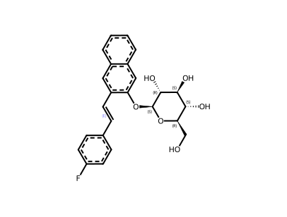 OC[C@H]1O[C@@H](Oc2cc3ccccc3cc2/C=C/c2ccc(F)cc2)[C@H](O)[C@@H](O)[C@@H]1O